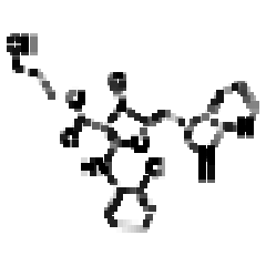 O=C(OCCCO)C1=C(Nc2ccccc2Cl)OC(=Cc2c[nH]c3ncccc23)C1=O